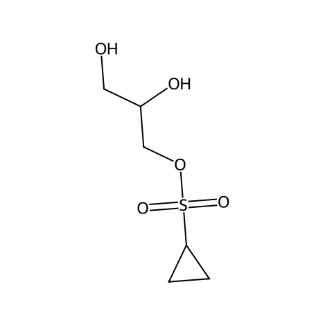 O=S(=O)(OCC(O)CO)C1CC1